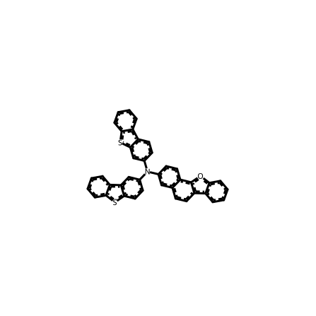 c1ccc2c(c1)oc1c3ccc(N(c4ccc5c(c4)sc4ccccc45)c4ccc5sc6ccccc6c5c4)cc3ccc21